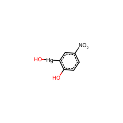 O=[N+]([O-])c1ccc(O)[c]([Hg][OH])c1